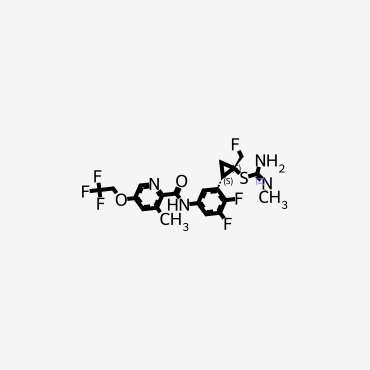 C/N=C(/N)S[C@@]1(CF)C[C@H]1c1cc(NC(=O)c2ncc(OCC(F)(F)F)cc2C)cc(F)c1F